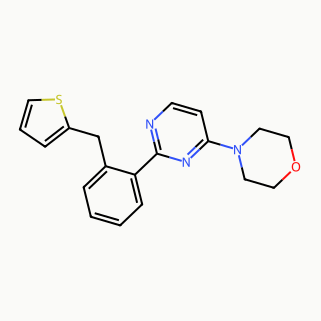 c1csc(Cc2ccccc2-c2nccc(N3CCOCC3)n2)c1